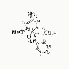 CC(=O)O.CCOC1(OCc2ccccc2)C=CC(N)=CC1OC